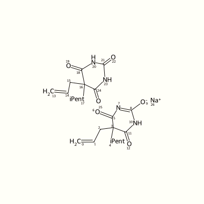 C=CCC1(C(C)CCC)C(=O)N=C([O-])NC1=O.C=CCC1(C(C)CCC)C(=O)NC(=O)NC1=O.[Na+]